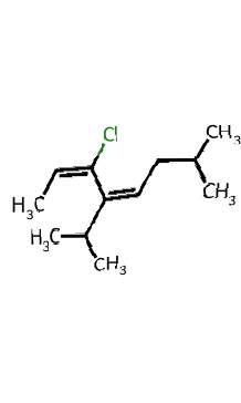 C/C=C(Cl)\C(=C/CC(C)C)C(C)C